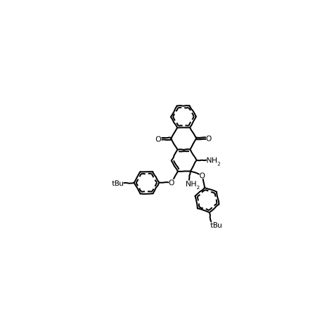 CC(C)(C)c1ccc(OC2=CC3=C(C(=O)c4ccccc4C3=O)C(N)C2(N)Oc2ccc(C(C)(C)C)cc2)cc1